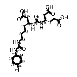 O=C(O)CC[C@@H](CC(=O)O)NC(=O)N[C@@H](CCCCNC(=O)Nc1ccc(I)cc1)CC(=O)O